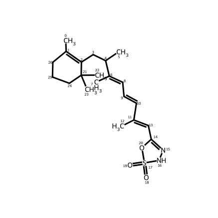 CC1=C(CC(C)/C(C)=C/C=C/C(C)=C/C2=NNS(=O)(=O)O2)C(C)(C)CCC1